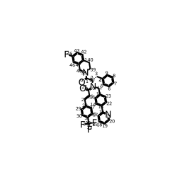 O=C([C@H](Cc1ccccc1)N(Cc1ccc(-c2ccccn2)cc1)C(=O)C=Cc1ccc(C(F)(F)F)cc1)N1CCc2ccc(F)cc2C1